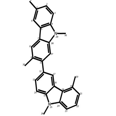 Cc1ccc2c(c1)c1cc(C)c(-c3ccc4c(c3)c3c(C)cccc3n4C)cc1n2C